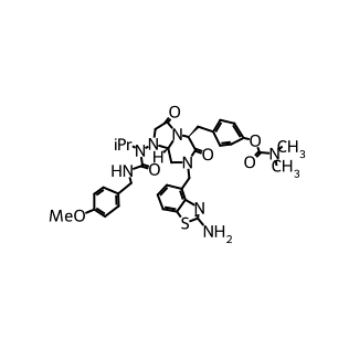 COc1ccc(CNC(=O)N(C(C)C)N2CC(=O)N3[C@@H](Cc4ccc(OC(=O)N(C)C)cc4)C(=O)N(Cc4cccc5sc(N)nc45)C[C@@H]32)cc1